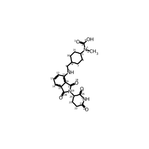 CN(C(=O)O)C1CCC(CNc2cccc3c2C(=O)N(C2CCC(=O)NC2=O)C3=O)CC1